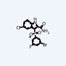 COP(=O)(c1cc(F)cc(Br)c1)c1c(C(N)=O)[nH]c2ccc(Cl)cc12